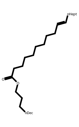 CCCCCCCC=CCCCCCCCCC(=O)OCCCCCCCCCCCCC